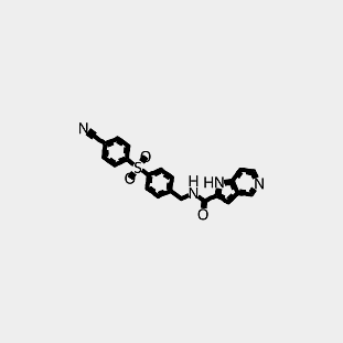 N#Cc1ccc(S(=O)(=O)c2ccc(CNC(=O)c3cc4cnccc4[nH]3)cc2)cc1